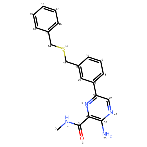 CNC(=O)c1nc(-c2cccc(CSCc3ccccc3)c2)cnc1N